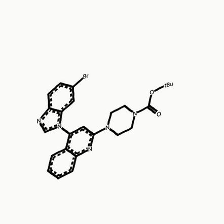 CC(C)(C)OC(=O)N1CCN(c2cc(-n3cnc4ccc(Br)cc43)c3ccccc3n2)CC1